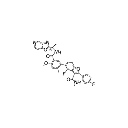 CNC(=O)c1c(-c2ccc(F)cc2)oc2ccc(-c3cc(C(=O)N[C@H](C)c4nc5cnccc5o4)c(OC)cc3C)c(F)c12